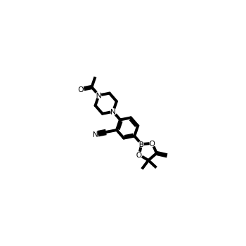 C=C1OB(c2ccc(N3CCN(C(C)=O)CC3)c(C#N)c2)OC1(C)C